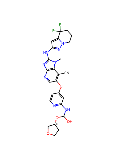 Cn1c(Nc2cc3n(n2)CCCC3(F)F)nc2ncc(Oc3ccnc(NC(O)O[C@@H]4CCOC4)c3)c(C#N)c21